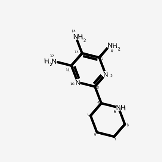 Nc1nc(C2CCCCN2)nc(N)c1N